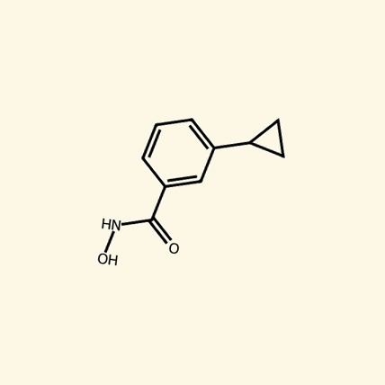 O=C(NO)c1cccc(C2CC2)c1